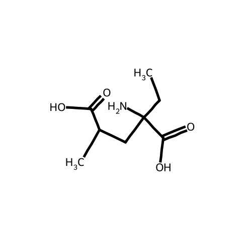 CCC(N)(CC(C)C(=O)O)C(=O)O